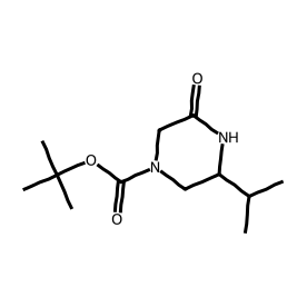 CC(C)C1CN(C(=O)OC(C)(C)C)CC(=O)N1